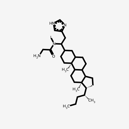 CCC[C@@H](C)[C@H]1CCC2C3CCC4CC(C(Cc5c[nH]cn5)N(I)C(=O)CN)CC[C@]4(C)C3CC[C@@]21C